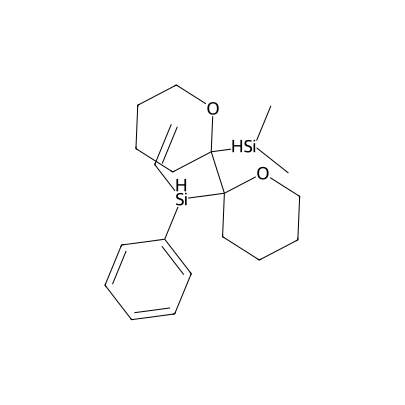 C=C[SiH](c1ccccc1)C1(C2([SiH](C)C)CCCCO2)CCCCO1